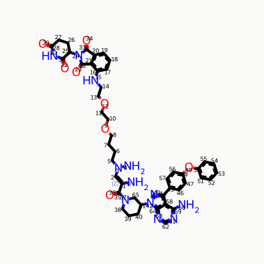 N/C(=C\N(N)CCCCOCCOCCNc1cccc2c1C(=O)N(C1CCC(=O)NC1=O)C2=O)C(=O)N1CCCC(n2nc(-c3ccc(Oc4ccccc4)cc3)c3c(N)ncnc32)C1